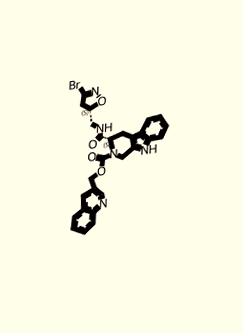 O=C(NC[C@@H]1CC(Br)=NO1)[C@@H]1Cc2c([nH]c3ccccc23)CN1C(=O)OCc1cnc2ccccc2c1